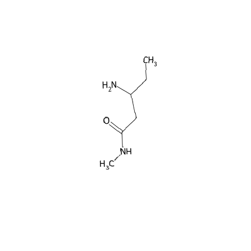 CCC(N)CC(=O)NC